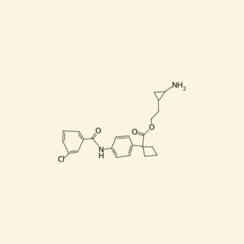 NC1CC1CCOC(=O)C1(c2ccc(NC(=O)c3cccc(Cl)c3)cc2)CCC1